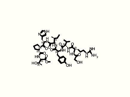 CC[C@H](C)[C@H](NC(=O)[C@H](Cc1ccc(O)cc1)NC(=O)[C@@H](NC(=O)[C@H](CCCNC(=N)N)NC(=O)CO)C(C)C)C(=O)N[C@@H](Cc1c[nH]cn1)C(=O)N1CCC[C@H]1C(=O)N[C@H](C(=O)OC)[C@@H](C)O